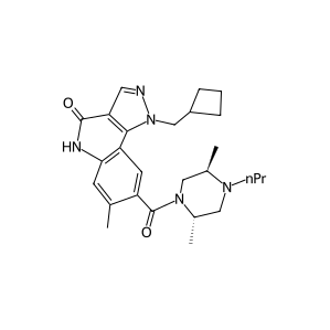 CCCN1C[C@H](C)N(C(=O)c2cc3c(cc2C)[nH]c(=O)c2cnn(CC4CCC4)c23)C[C@H]1C